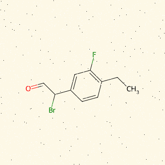 CCc1ccc(C(Br)C=O)cc1F